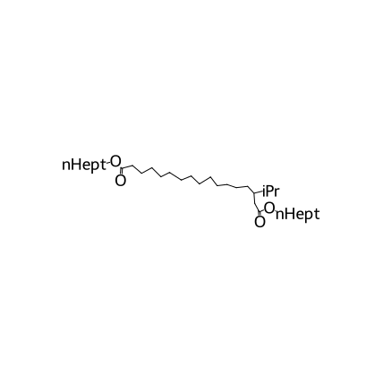 CCCCCCCOC(=O)CCCCCCCCCCCCCC(CC(=O)OCCCCCCC)C(C)C